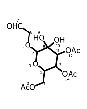 CC(=O)OCC1OC(OCC=O)C(O)(O)C(OC(C)=O)C1OC(C)=O